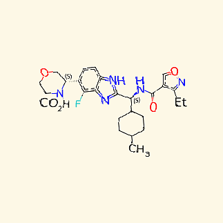 CCc1nocc1C(=O)N[C@H](c1nc2c(F)c([C@H]3COCCN3C(=O)O)ccc2[nH]1)C1CCC(C)CC1